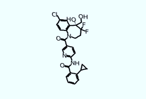 O=C(Nc1ccc(C(=O)N2CCC(F)(F)[C@](O)(CO)c3cc(Cl)ccc32)cn1)c1ccccc1C1CC1